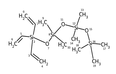 C=C[Si](C=C)(C=C)O[Si](C)(C)O[Si](C)(C)O[Si](C)(C)C